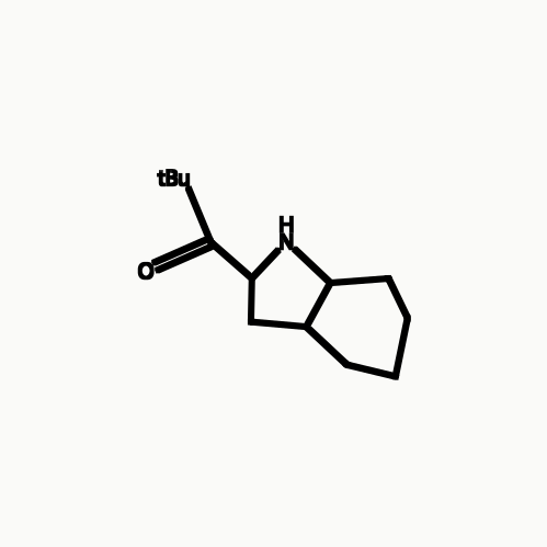 CC(C)(C)C(=O)C1CC2CCCCC2N1